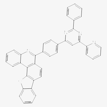 c1ccc(-c2nc(-c3ccc(-c4nc5ccccc5c5c4ccc4c6ccccc6oc45)cc3)cc(-c3ccccn3)n2)cc1